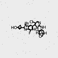 CC(C)n1c(C23CC(O)(C2)C3)nc2c(F)cc(-c3nc(N[C@@H]4C[C@H]5CO[C@H](O5)[C@H]4O)ncc3Cl)cc21